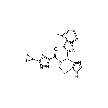 Cc1cccn2nc([C@H]3c4nc[nH]c4CCN3C(=O)c3nnc(C4CC4)s3)cc12